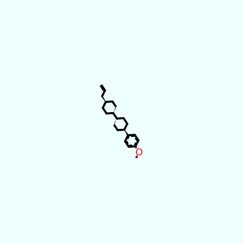 C=CC[C@H]1CC[C@H]([C@H]2CC[C@H](c3ccc(OC)cc3)CC2)CC1